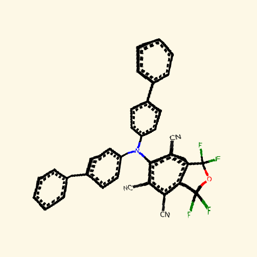 N#Cc1c(C#N)c2c(c(C#N)c1N(c1ccc(-c3ccccc3)cc1)c1ccc(-c3ccccc3)cc1)C(F)(F)OC2(F)F